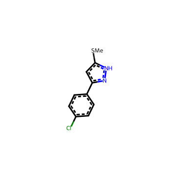 CSc1cc(-c2ccc(Cl)cc2)n[nH]1